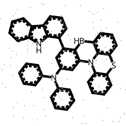 B1c2cccc3c2N(c2ccccc2S3)c2cc(N(c3ccccc3)c3ccccc3)cc(-c3cccc4c3[nH]c3ccccc34)c21